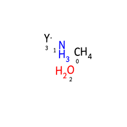 C.N.O.[Y]